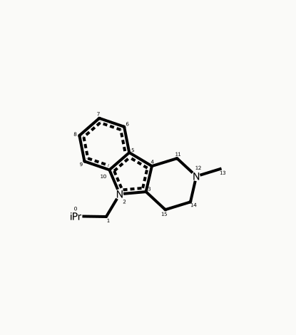 CC(C)Cn1c2c(c3ccccc31)CN(C)CC2